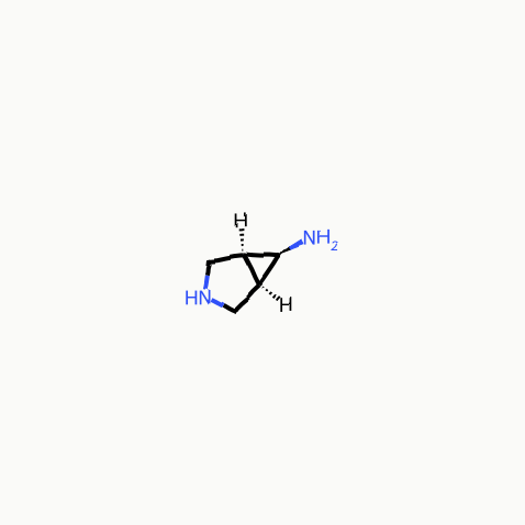 N[C@H]1[C@H]2CNC[C@@H]12